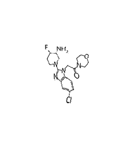 N[C@@H]1CN(c2nc3cc(Cl)ccc3n2CC(=O)N2CCOCC2)CC[C@H]1F